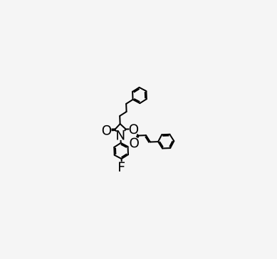 O=C(/C=C/c1ccccc1)OC1C(CCCc2ccccc2)C(=O)N1c1ccc(F)cc1